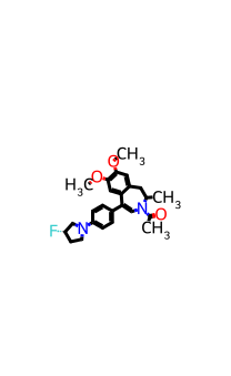 COc1cc2c(cc1OC)C(c1ccc(N3CC[C@H](F)C3)cc1)=CN(C(C)=O)C(C)C2